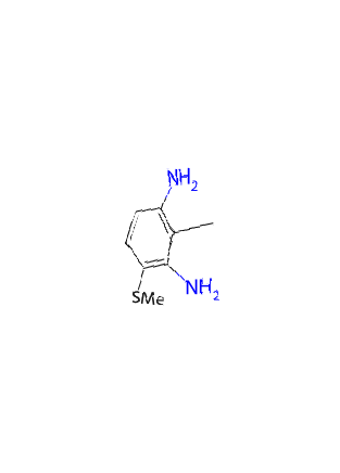 CSc1ccc(N)c(C)c1N